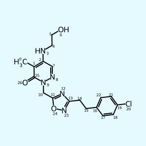 Cc1c(NCCO)cnn(Cc2nc(CCc3ccc(Cl)cc3)no2)c1=O